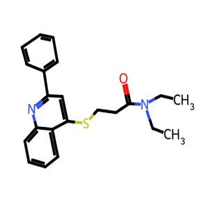 CCN(CC)C(=O)CCSc1cc(-c2ccccc2)nc2ccccc12